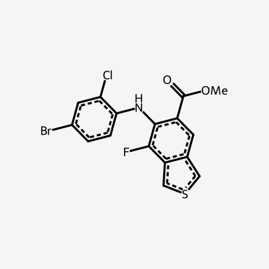 COC(=O)c1cc2cscc2c(F)c1Nc1ccc(Br)cc1Cl